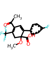 COC1(C(=O)O)CC(C(F)(F)F)=C(C(C)=O)C=C1c1ccc(F)cc1